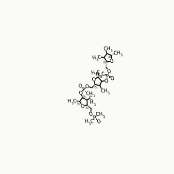 CC1C(C)[C@@H](COP(C)(=O)OC2C(C)[C@@H](COP(C)(=O)O[C@H]3C(C)[C@@H](COP(C)(C)=O)O[C@H]3C)O[C@H]2C)O[C@H]1C